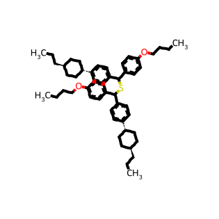 CCCCOc1ccc(C(SC(c2ccc(OCCCC)cc2)c2ccc([C@H]3CC[C@H](CCC)CC3)cc2)c2ccc([C@H]3CC[C@H](CCC)CC3)cc2)cc1